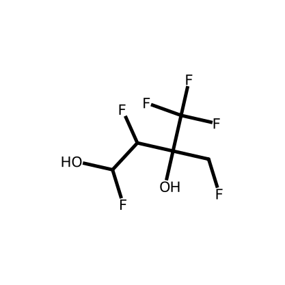 OC(F)C(F)C(O)(CF)C(F)(F)F